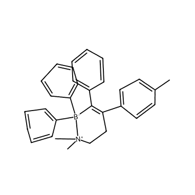 Cc1ccc(C2=C(c3ccccc3)[B-](c3ccccc3)(c3ccccc3)[N+](C)(C)CC2)cc1